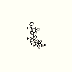 CC(CCO)(P(=O)(O)O)S(=O)(=O)C[C@H]1O[C@@H](n2ncc3c(NC4CCCC4)nc(Cl)nc32)[C@H](O)[C@@H]1O